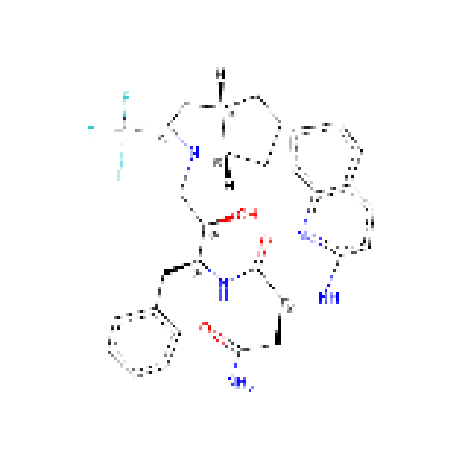 NC(=O)C[C@H](Nc1ccc2ccccc2n1)C(=O)N[C@@H](Cc1ccccc1)[C@H](O)CN1[C@H](C(F)(F)F)C[C@@H]2CCC[C@@H]21